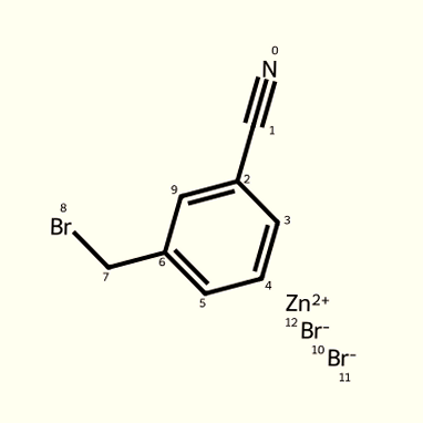 N#Cc1cccc(CBr)c1.[Br-].[Br-].[Zn+2]